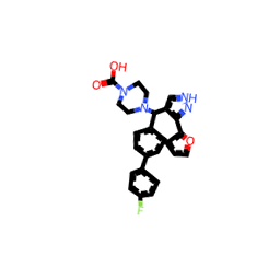 O=C(O)N1CCN(C(c2ccc(-c3ccc(F)cc3)cc2)c2c[nH]nc2-c2ccco2)CC1